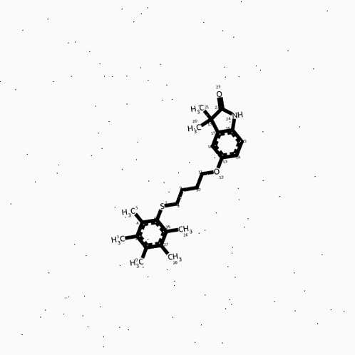 Cc1c(C)c(C)c(SCCCCOc2ccc3c(c2)C(C)(C)C(=O)N3)c(C)c1C